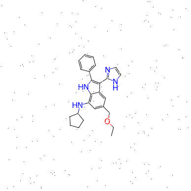 CCOCc1cc(NC2CCCC2)c2[nH]c(-c3ccccc3)c(-c3ncc[nH]3)c2c1